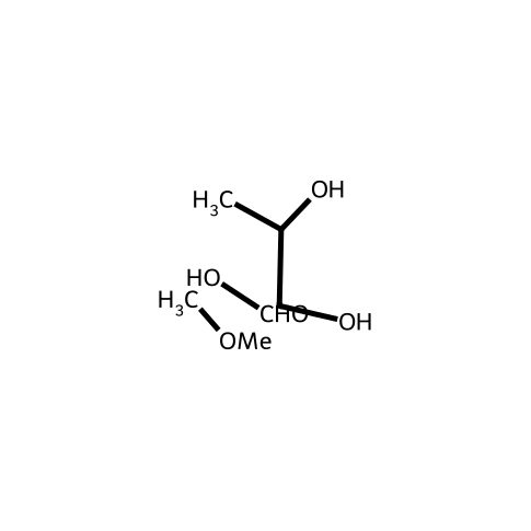 CC(O)CO.COC.O=CO